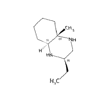 CC[C@@H]1CN[C@@]2(C)CCCC[C@@H]2N1